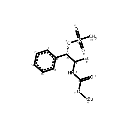 CCC(NC(=O)OC(C)(C)C)[C@@H](OS(C)(=O)=O)c1ccccc1